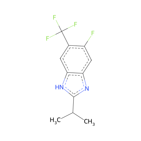 CC(C)c1nc2cc(F)c(C(F)(F)F)cc2[nH]1